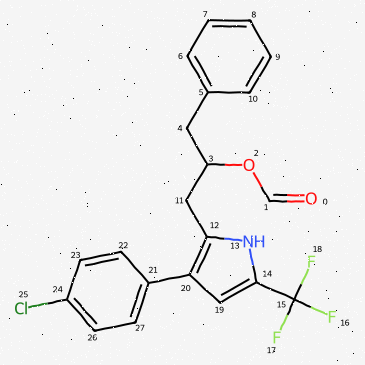 O=COC(Cc1ccccc1)Cc1[nH]c(C(F)(F)F)cc1-c1ccc(Cl)cc1